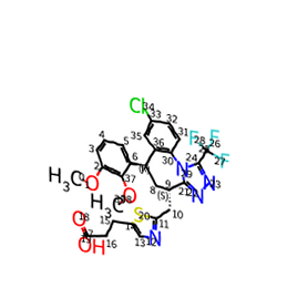 COc1cccc([C@@H]2C[C@@H](Cc3ncc(CCC(=O)O)s3)c3nnc(C(F)(F)F)n3-c3ccc(Cl)cc32)c1OC